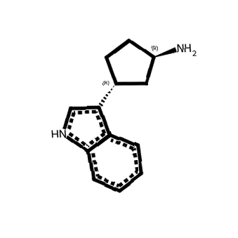 N[C@@H]1CC[C@@H](c2c[nH]c3ccccc23)C1